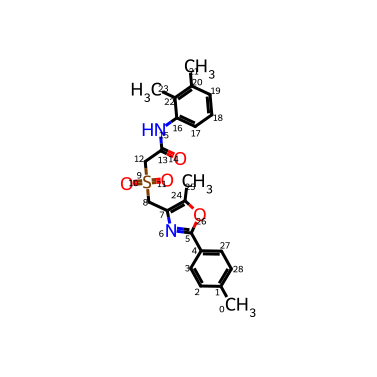 Cc1ccc(-c2nc(CS(=O)(=O)CC(=O)Nc3cccc(C)c3C)c(C)o2)cc1